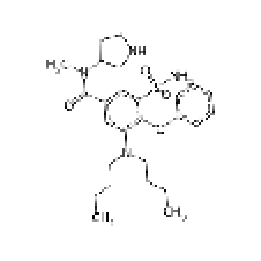 CCCCN(CCCC)c1cc(C(=O)N(C)C2CCNC2)cc(S(N)(=O)=O)c1Oc1ccccc1